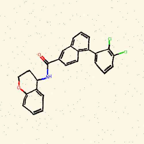 O=C(NC1CCOc2ccccc21)c1ccc2c(-c3cccc(Cl)c3Cl)cccc2c1